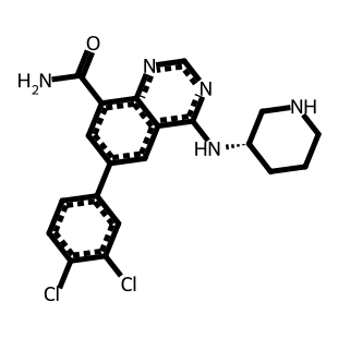 NC(=O)c1cc(-c2ccc(Cl)c(Cl)c2)cc2c(N[C@H]3CCCNC3)ncnc12